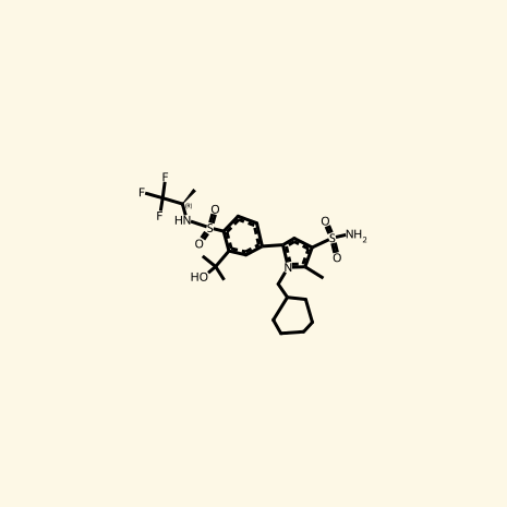 Cc1c(S(N)(=O)=O)cc(-c2ccc(S(=O)(=O)N[C@H](C)C(F)(F)F)c(C(C)(C)O)c2)n1CC1CCCCC1